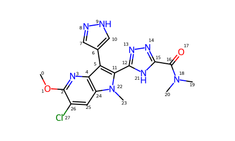 COc1nc2c(-c3cn[nH]c3)c(-c3nnc(C(=O)N(C)C)[nH]3)n(C)c2cc1Cl